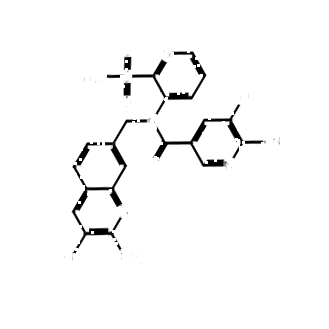 CS(=O)(=O)c1ncccc1N(Cc1ccc2cc(Cl)c(N)nc2c1)C(=O)c1cnc(C#N)c(Cl)c1